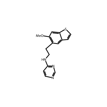 COc1cc2sccc2cc1CCNc1ccncn1